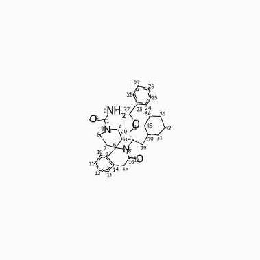 NC(=O)N1CCC2(CC1)c1ccccc1CC(=O)N2[C@H](COCc1ccccc1)CC1CCCCC1